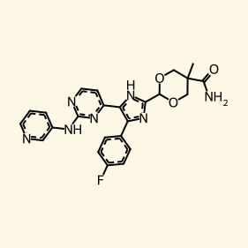 CC1(C(N)=O)COC(c2nc(-c3ccc(F)cc3)c(-c3ccnc(Nc4cccnc4)n3)[nH]2)OC1